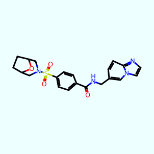 O=C(NCc1ccc2nccn2c1)c1ccc(S(=O)(=O)N2CC3CCC(C2)O3)cc1